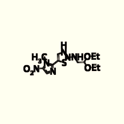 CCOC(CNN1NC=C(c2ncc([N+](=O)[O-])n2C)S1)OCC